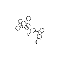 N#Cc1ccc2c3ccccc3n(-c3ccc(-c4ccc(-n5c6ccccc6c6cccc(-n7c8ccccc8c8ccccc87)c65)cc4)c(C#N)c3)c2c1